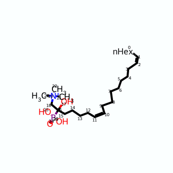 CCCCCC/C=C\CCCCCCC/C=C\CCCCC(O)(C[N+](C)(C)C)P(=O)(O)O